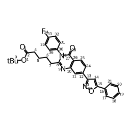 CC(C)(C)OC(=O)CCCCc1nc2cc(-c3cc(-c4ccccc4)on3)ccc2c(=O)n1-c1ccc(F)cc1